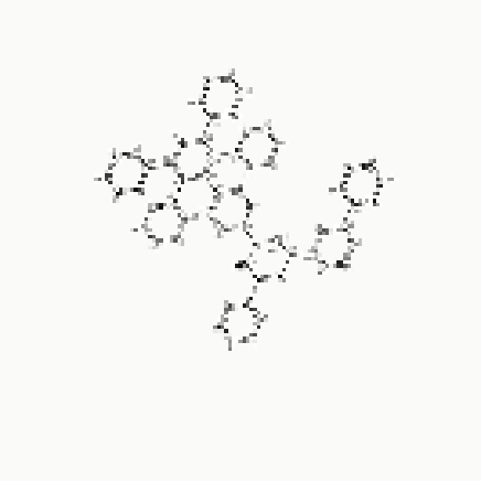 C1=C(c2ccccc2)NC(c2ccc(-c3c(-c4ccccc4)c(-c4ccccc4)nc(-c4ccccc4)c3-c3ccccc3)cc2)NC1c1cccc(-c2ccccc2)c1